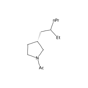 CCCC(CC)C[C@H]1CCN(C(C)=O)C1